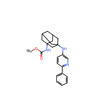 CC(C)(C)OC(=O)NC12CC3CC(C1)CC(Nc1ccc(-c4ccccc4)nc1)(C3)C2